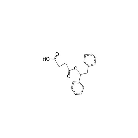 O=C(O)CCC(=O)OC(Cc1ccccc1)c1ccccc1